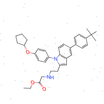 CCOC(=O)CNCCc1cc2cc(-c3ccc(C(C)(C)C)cc3)ccc2n1-c1ccc(OC2CCCC2)cc1